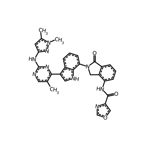 Cc1cnc(Nc2cc(C)n(C)n2)nc1-c1c[nH]c2c(N3Cc4c(NC(=O)c5cocn5)cccc4C3=O)cccc12